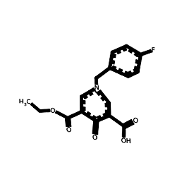 CCOC(=O)c1cn(Cc2ccc(F)cc2)cc(C(=O)O)c1=O